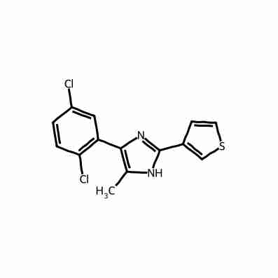 Cc1[nH]c(-c2ccsc2)nc1-c1cc(Cl)ccc1Cl